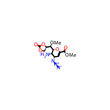 COC(=O)C1=C[C@H](N=[N+]=[N-])[C@@H](N)[C@H]([C@H](OC)[C@H]2COC(=O)O2)O1